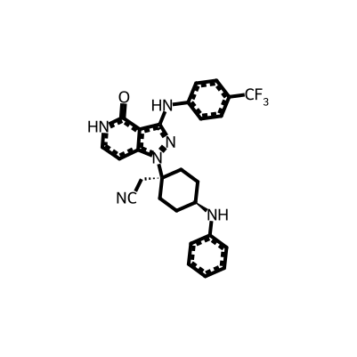 N#CC[C@]1(n2nc(Nc3ccc(C(F)(F)F)cc3)c3c(=O)[nH]ccc32)CC[C@@H](Nc2ccccc2)CC1